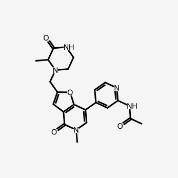 CC(=O)Nc1cc(-c2cn(C)c(=O)c3cc(CN4CCNC(=O)C4C)oc23)ccn1